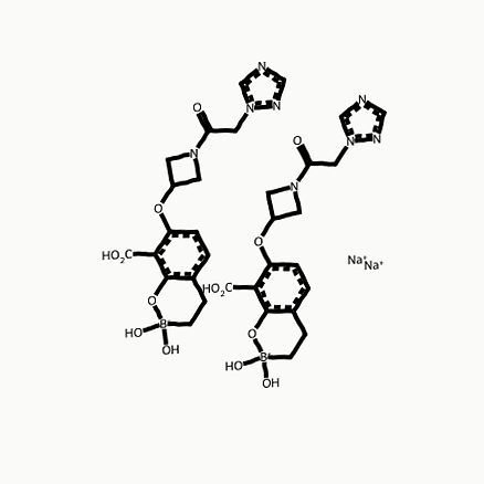 O=C(O)c1c(OC2CN(C(=O)Cn3cncn3)C2)ccc2c1O[B-](O)(O)CC2.O=C(O)c1c(OC2CN(C(=O)Cn3cncn3)C2)ccc2c1O[B-](O)(O)CC2.[Na+].[Na+]